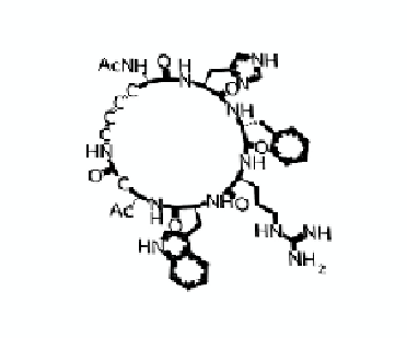 CC(=O)N[C@H]1CCCCNC(=O)C[C@@H](C(C)=O)NC(=O)[C@H](Cc2c[nH]c3ccccc23)NC(=O)[C@H](CCCNC(=N)N)NC(=O)[C@@H](Cc2ccccc2)NC(=O)[C@H](Cc2c[nH]cn2)NC1=O